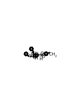 C=Cc1ccc(S(=O)(=O)NC[C@@H]2C[C@@H]3O[C@H](COCc4ccccc4)[C@@H](OCc4ccccc4)[C@@H]3O2)cc1